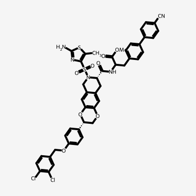 COC(=O)C(Cc1ccc(-c2ccc(C#N)cc2)cc1)NC(=O)[C@@H]1Cc2cc3c(cc2CN1S(=O)(=O)c1nc(N)sc1C)O[C@@H](c1ccc(OCc2ccc(Cl)c(Cl)c2)cc1)CO3